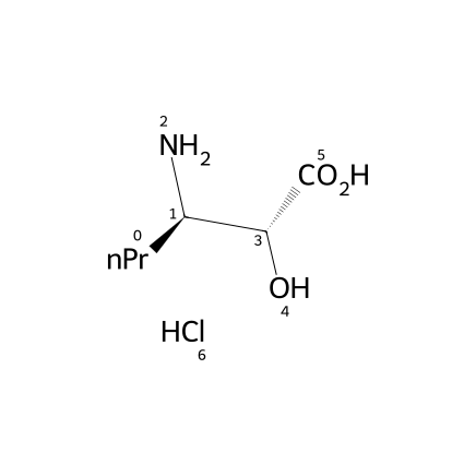 CCC[C@@H](N)[C@@H](O)C(=O)O.Cl